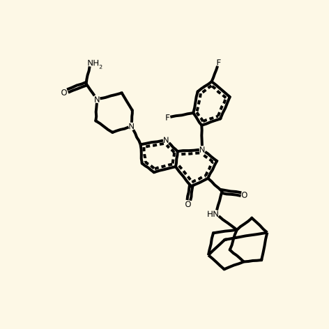 NC(=O)N1CCN(c2ccc3c(=O)c(C(=O)NC45CC6CC(CC(C6)C4)C5)cn(-c4ccc(F)cc4F)c3n2)CC1